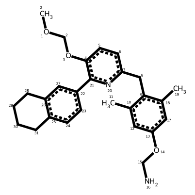 COCOc1ccc(Cc2c(C)cc(OCN)cc2C)nc1-c1ccc2c(c1)CCCC2